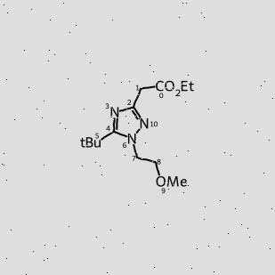 CCOC(=O)Cc1nc(C(C)(C)C)n(CCOC)n1